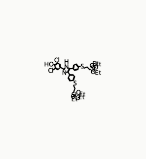 CCO[Si](CCCSc1ccc(-c2nc(-c3cc(Cl)c(O)c(Cl)c3)[nH]c2-c2ccc(SCCC[Si](OCC)(OCC)OCC)cc2)cc1)(OCC)OCC